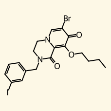 CCCCOc1c2n(cc(Br)c1=O)CCN(Cc1cccc(I)c1)C2=O